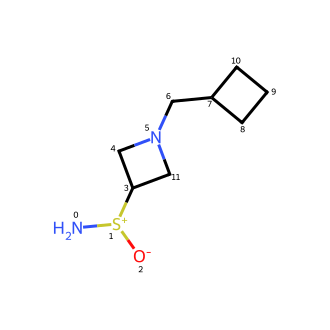 N[S+]([O-])C1CN(CC2CCC2)C1